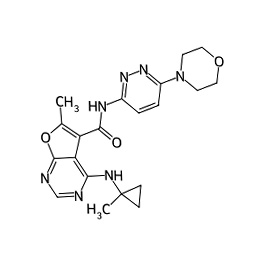 Cc1oc2ncnc(NC3(C)CC3)c2c1C(=O)Nc1ccc(N2CCOCC2)nn1